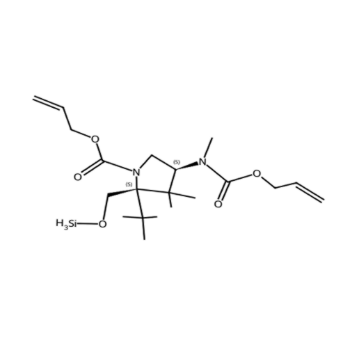 C=CCOC(=O)N(C)[C@@H]1CN(C(=O)OCC=C)[C@@](CO[SiH3])(C(C)(C)C)C1(C)C